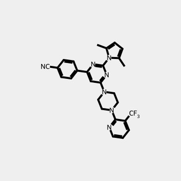 Cc1ccc(C)n1-c1nc(-c2ccc(C#N)cc2)cc(N2CCN(c3ncccc3C(F)(F)F)CC2)n1